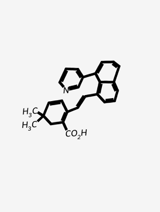 CC1(C)C=CC(C=Cc2cccc3cccc(-c4cccnc4)c23)=C(C(=O)O)C1